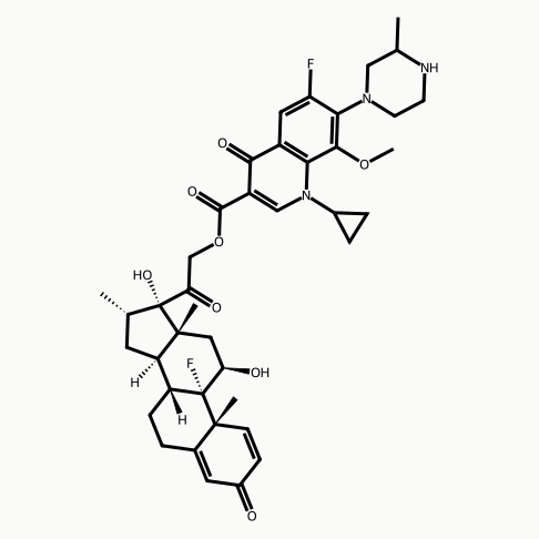 COc1c(N2CCNC(C)C2)c(F)cc2c(=O)c(C(=O)OCC(=O)[C@]3(O)[C@@H](C)C[C@@H]4[C@H]5CCC6=CC(=O)C=C[C@@]6(C)[C@]5(F)[C@H](O)C[C@]43C)cn(C3CC3)c12